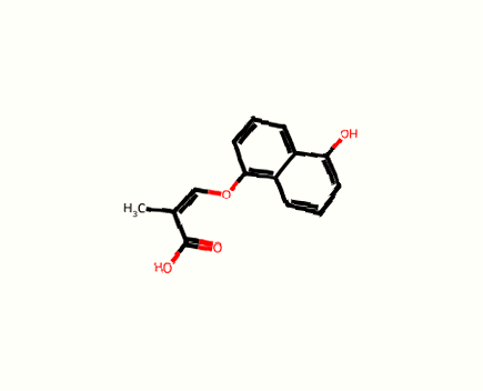 CC(=COc1cccc2c(O)cccc12)C(=O)O